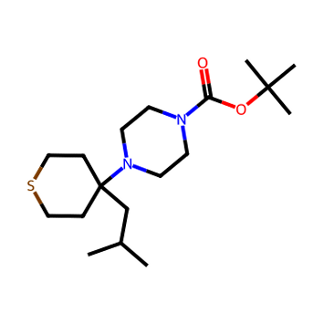 CC(C)CC1(N2CCN(C(=O)OC(C)(C)C)CC2)CCSCC1